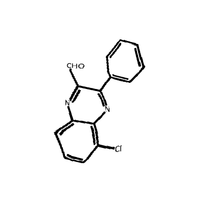 O=Cc1nc2cccc(Cl)c2nc1-c1ccccc1